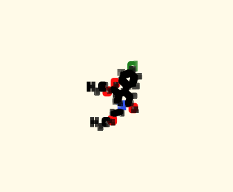 COCCN1C=C(C(=O)OC)C(c2ccc(Cl)cc2)CC1=O